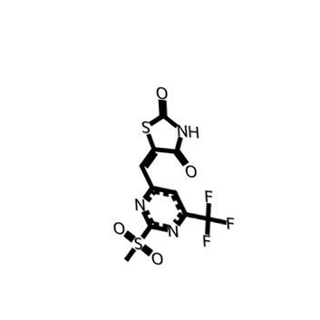 CS(=O)(=O)c1nc(C=C2SC(=O)NC2=O)cc(C(F)(F)F)n1